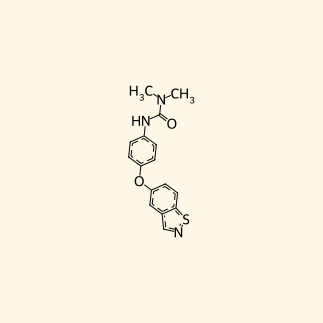 CN(C)C(=O)Nc1ccc(Oc2ccc3sncc3c2)cc1